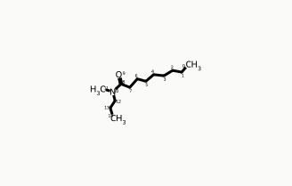 CCCCCCCCC(=O)N(C)CCC